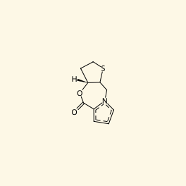 O=C1O[C@@H]2CCSC2Cn2cccc21